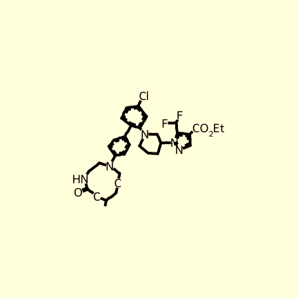 CCOC(=O)c1cnn(C2CCCN(c3cc(Cl)ccc3-c3ccc(N4CCCC(C)CC(=O)NCC4)cc3)C2)c1C(F)F